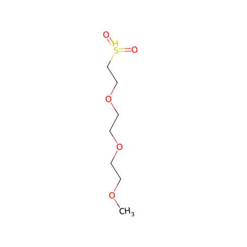 COCCOCCOCC[SH](=O)=O